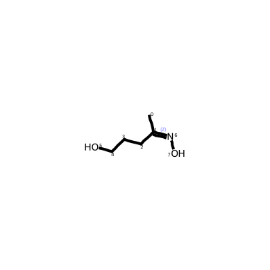 C/C(CCCO)=N/O